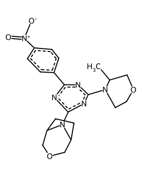 CC1COCCN1c1nc(-c2ccc([N+](=O)[O-])cc2)nc(N2C3CCC2COC3)n1